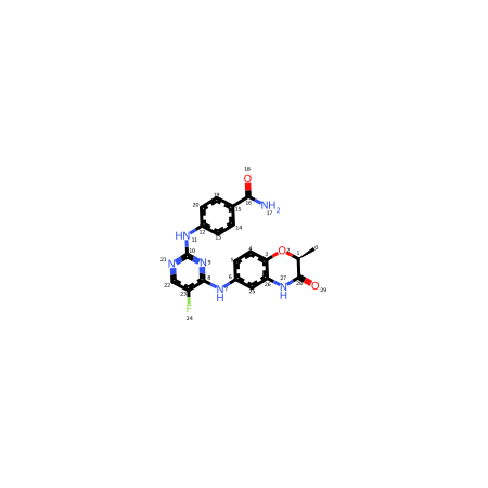 C[C@@H]1Oc2ccc(Nc3nc(Nc4ccc(C(N)=O)cc4)ncc3F)cc2NC1=O